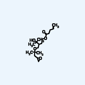 C=CCCC(=O)OCCC(COC(C)(C)CC1CO1)C(C)(C)O